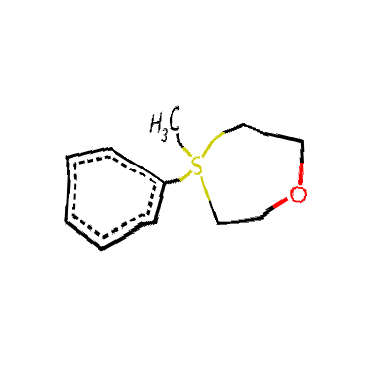 CS1(c2ccccc2)CCOCC1